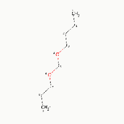 [CH2]CCCOCOCC[CH2]